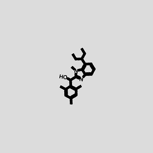 CCC(CC)c1cccc2nc(C(O)c3c(C)cc(C)cc3C)n(C)c12